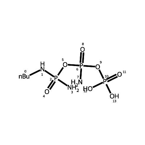 CCCCNP(N)(=O)OP(N)(=O)OP(=O)(O)O